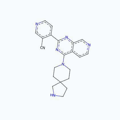 N#Cc1cnccc1-c1nc(N2CCC3(CCNC3)CC2)c2ccncc2n1